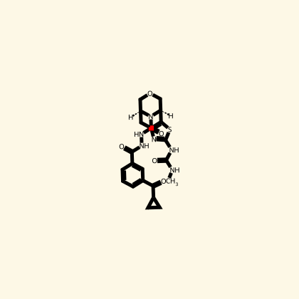 CNC(=O)Nc1nc2c(s1)[C@@H]1COC[C@H](C2)N1C(=O)NNC(=O)c1cccc(C(=O)C2CC2)c1